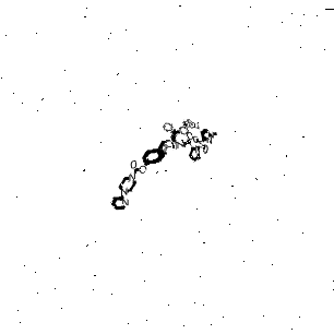 Cn1ccc(S(=O)(=O)N2CCC[C@H]2C(=O)N[C@@H](Cc2ccc(OC(=O)N3CCN(c4ccccn4)CC3)cc2)C(=O)OC(C)(C)C)n1